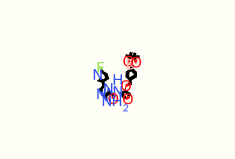 CC1(C)OB(c2ccc(CO[C@H]3COC[C@@H]3NC(=O)c3nc(-c4ccc(F)nc4)cnc3N)cc2)OC1(C)C